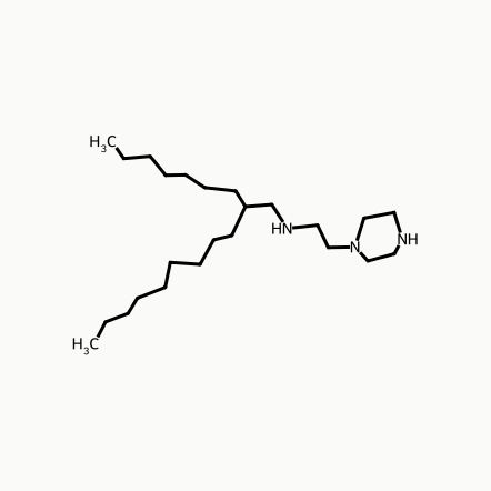 CCCCCCCCCC(CCCCCCC)CNCCN1CCNCC1